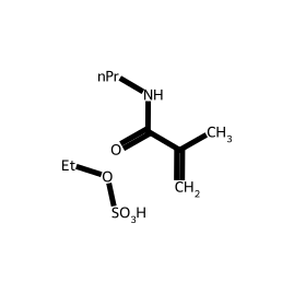 C=C(C)C(=O)NCCC.CCOS(=O)(=O)O